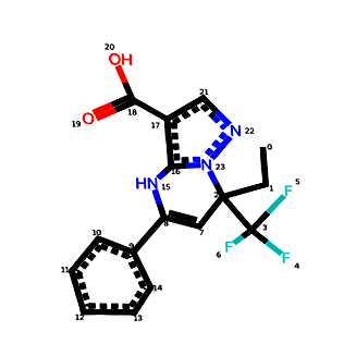 CCC1(C(F)(F)F)C=C(c2ccccc2)Nc2c(C(=O)O)cnn21